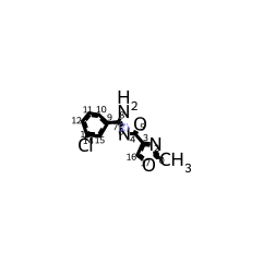 Cc1nc(C(=O)/N=C(\N)c2cccc(Cl)c2)co1